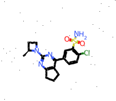 C[C@H]1CCN1c1nc2c(c(-c3ccc(Cl)c(S(N)(=O)=O)c3)n1)CCC2